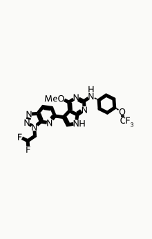 COc1nc(N[C@H]2CC[C@@H](OC(F)(F)F)CC2)nc2[nH]cc(-c3ccc4nnn(CC(F)F)c4n3)c12